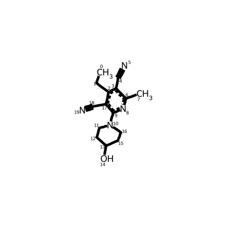 CCc1c(C#N)c(C)nc(N2CCC(O)CC2)c1C#N